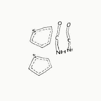 N=C=O.N=C=O.c1ccsc1.c1ccsc1